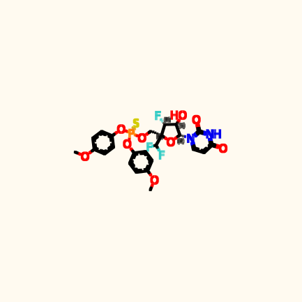 COc1ccc(OP(=S)(OC[C@@]2(C(F)F)O[C@@H](n3ccc(=O)[nH]c3=O)[C@H](O)[C@H]2F)Oc2ccc(OC)cc2)cc1